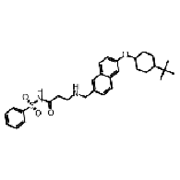 CC(C)(C)C1CCC(Oc2ccc3cc(CNCCC(=O)NS(=O)(=O)c4ccccc4)ccc3c2)CC1